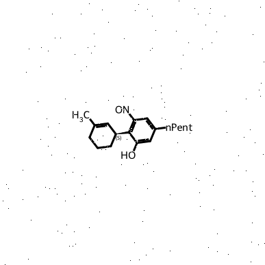 CCCCCc1cc(O)c([C@@H]2C=C(C)CCC2)c(N=O)c1